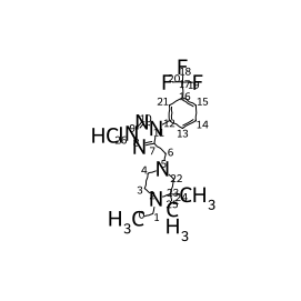 CCN1CCN(Cc2nnnn2-c2cccc(C(F)(F)F)c2)CC1(C)C.Cl